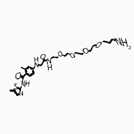 Cc1cnc(NC(=O)c2ccc(NCC(=O)NCCOCCOCCOCCOCCCN)cc2C)s1